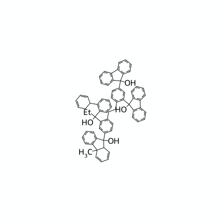 CCC(O)(c1cc(C2(O)c3ccccc3C3(C)C=CC=CC32)ccc1CCc1ccc(C2(O)c3ccccc3-c3ccccc32)cc1C1(O)c2ccccc2-c2ccccc21)c1ccccc1C1C=CC=CC1